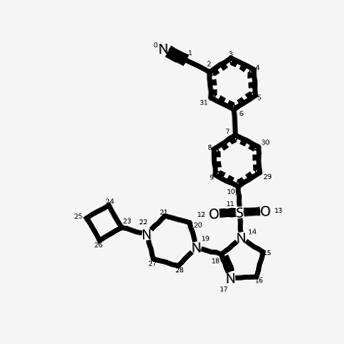 N#Cc1cccc(-c2ccc(S(=O)(=O)N3CCN=C3N3CCN(C4CCC4)CC3)cc2)c1